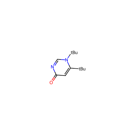 CC(C)(C)c1cc(=O)ncn1C(C)(C)C